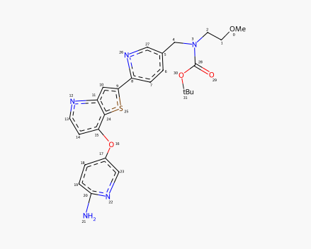 COCCN(Cc1ccc(-c2cc3nccc(Oc4ccc(N)nc4)c3s2)nc1)C(=O)OC(C)(C)C